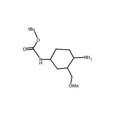 COCC1CC(NC(=O)OC(C)(C)C)CCC1N